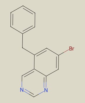 Brc1cc(Cc2ccccc2)c2cncnc2c1